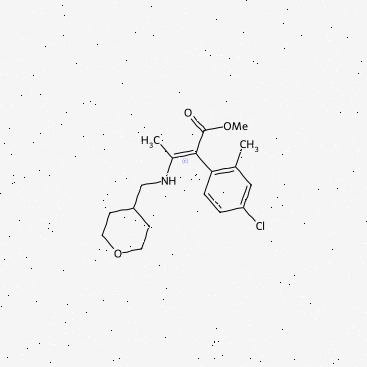 COC(=O)/C(=C(\C)NCC1CCOCC1)c1ccc(Cl)cc1C